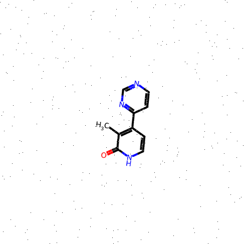 Cc1c(-c2ccncn2)cc[nH]c1=O